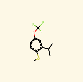 CSc1ccc(OC(F)(F)F)cc1C(C)C